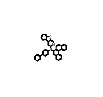 c1ccc(-c2ccc(N(c3cc4c(cn3)sc3ccccc34)c3cc4ccccc4c4c3ccc3ccccc34)cc2)cc1